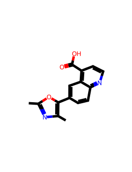 Cc1nc(C)c(-c2ccc3nccc(C(=O)O)c3c2)o1